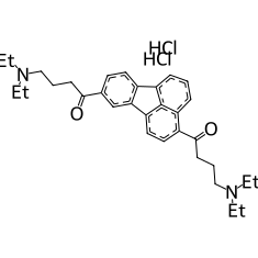 CCN(CC)CCCC(=O)c1ccc2c(c1)-c1ccc(C(=O)CCCN(CC)CC)c3cccc-2c13.Cl.Cl